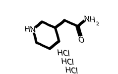 Cl.Cl.Cl.NC(=O)CC1CCCNC1